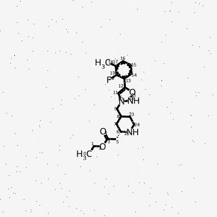 CCOC(=O)C[C@@H]1CC(CN2C=C(c3cccc(C)c3F)ON2)CCN1